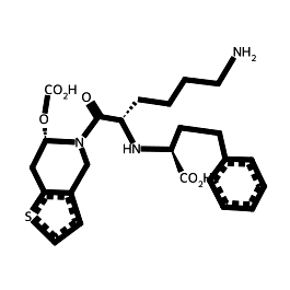 NCCCC[C@H](N[C@@H](CCc1ccccc1)C(=O)O)C(=O)N1Cc2ccsc2C[C@@H]1OC(=O)O